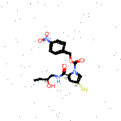 CC[C@H](O)CNC(=O)[C@@H]1C[C@H](S)CN1C(=O)OCc1ccc([N+](=O)[O-])cc1